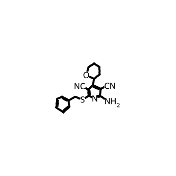 N#Cc1c(N)nc(SCc2ccccc2)c(C#N)c1C1CCCCO1